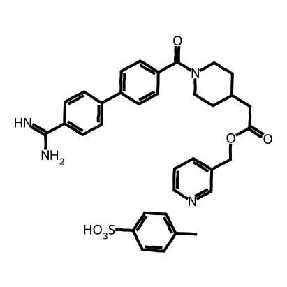 Cc1ccc(S(=O)(=O)O)cc1.N=C(N)c1ccc(-c2ccc(C(=O)N3CCC(CC(=O)OCc4cccnc4)CC3)cc2)cc1